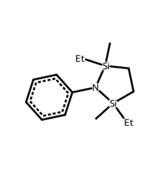 CC[Si]1(C)CC[Si](C)(CC)N1c1ccccc1